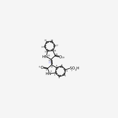 O=C1Nc2ccc(S(=O)(=O)O)cc2/C1=C1/Nc2ccccc2C1=O